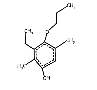 CCCOc1c(C)cc(O)c(C)c1CC